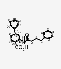 O=C(CCCc1ccccc1)Nc1cc(-c2ccccc2)ccc1C(=O)O